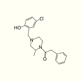 CC1CN(Cc2cc(Cl)ccc2O)CCN1C(=O)Cc1ccccc1